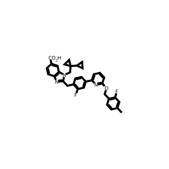 Cc1ccc(COc2cccc(-c3ccc(Cc4nc5ccc(C(=O)O)cc5n4CC4(C5CC5)CC4)c(F)c3)n2)c(F)c1